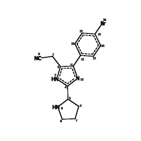 N#CCc1[nH]c(C2CCCN2)nc1-c1ccc(Br)cc1